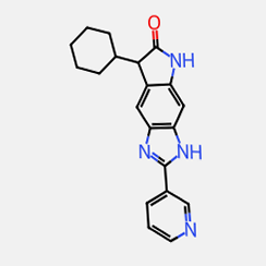 O=C1Nc2cc3[nH]c(-c4cccnc4)nc3cc2C1C1CCCCC1